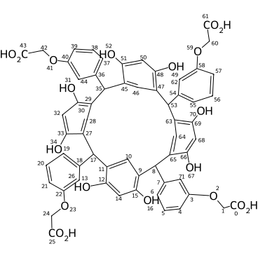 O=C(O)COc1cccc(C2c3cc(c(O)cc3O)C(c3cccc(OCC(=O)O)c3)c3cc(c(O)cc3O)C(c3cccc(OCC(=O)O)c3)c3cc(c(O)cc3O)C(c3cccc(OCC(=O)O)c3)c3cc2c(O)cc3O)c1